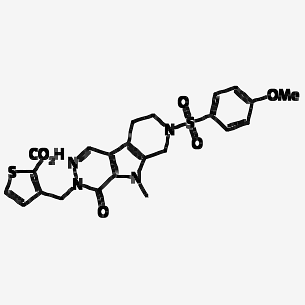 COc1ccc(S(=O)(=O)N2CCc3c(n(C)c4c(=O)n(Cc5ccsc5C(=O)O)ncc34)C2)cc1